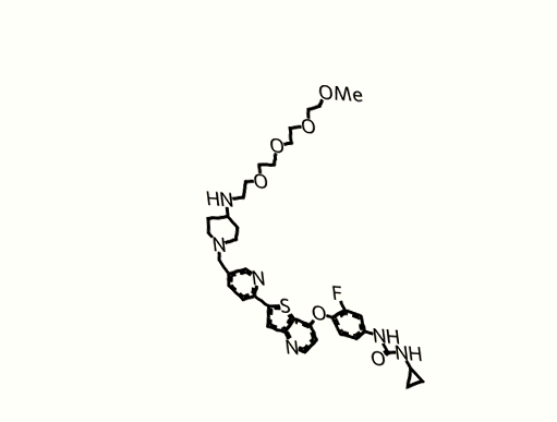 COCCOCCOCCOCCNC1CCN(Cc2ccc(-c3cc4nccc(Oc5ccc(NC(=O)NC6CC6)cc5F)c4s3)nc2)CC1